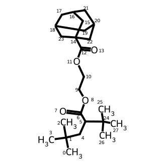 CC(C)(C)CC(C(=O)OCCOC(=O)C12CC3CC(CC(C3)C1)C2)C(C)(C)C